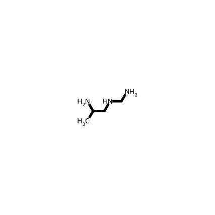 CC(N)CNCN